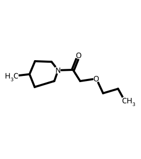 CCCOCC(=O)N1CCC(C)CC1